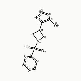 O=S(=O)(c1ccccc1)N1CC(c2n[nH]cc2O)C1